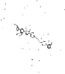 CCOc1ccc(-c2ccc(C3=CCC(CCC4CCC(c5ccc(C)c(F)c5F)CC4)CC3)c(F)c2F)c(F)c1F